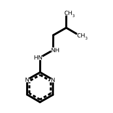 CC(C)CNNc1ncccn1